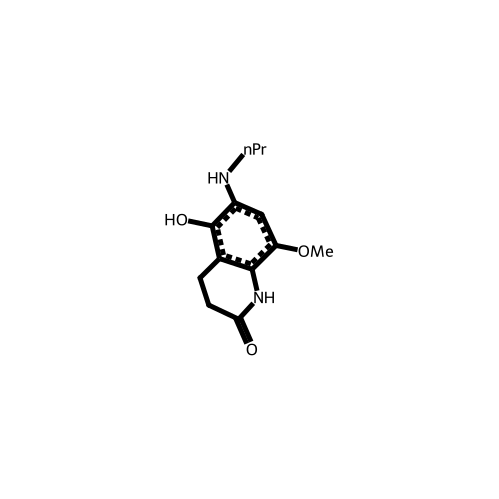 CCCNc1cc(OC)c2c(c1O)CCC(=O)N2